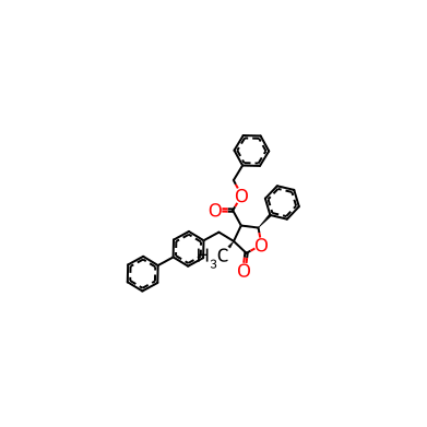 C[C@]1(Cc2ccc(-c3ccccc3)cc2)C(=O)O[C@H](c2ccccc2)C1C(=O)OCc1ccccc1